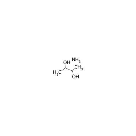 CC(O)C(C)O.N